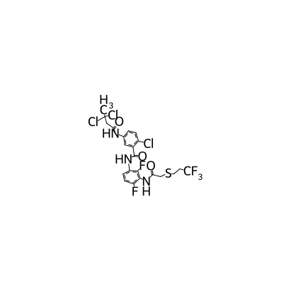 CC(Cl)(Cl)CC(=O)Nc1ccc(Cl)c(C(=O)Nc2ccc(F)c(NC(=O)CSCCC(F)(F)F)c2F)c1